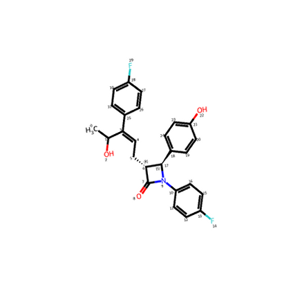 CC(O)C(=CC[C@H]1C(=O)N(c2ccc(F)cc2)[C@@H]1c1ccc(O)cc1)c1ccc(F)cc1